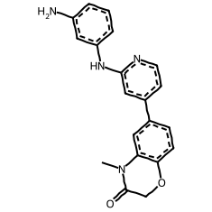 CN1C(=O)COc2ccc(-c3ccnc(Nc4cccc(N)c4)c3)cc21